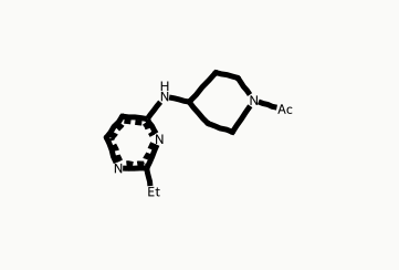 CCc1nccc(NC2CCN(C(C)=O)CC2)n1